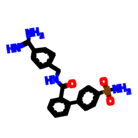 N=C(N)c1ccc(CNC(=O)c2ccccc2-c2ccc(S(N)(=O)=O)cc2)cc1